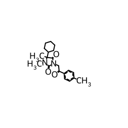 Cc1ccc(C(=O)CN2C(=O)N(C)C(C)(C3CCCCC3)C2=O)cc1